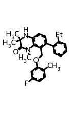 CCc1ccccc1-c1ccc2c(c1COc1cc(F)ccc1C)N(C)C(=O)C(C)(C)N2